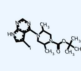 CC1CN(c2ncnc3[nH]cc(I)c23)C(C)CN1C(=O)OC(C)(C)C